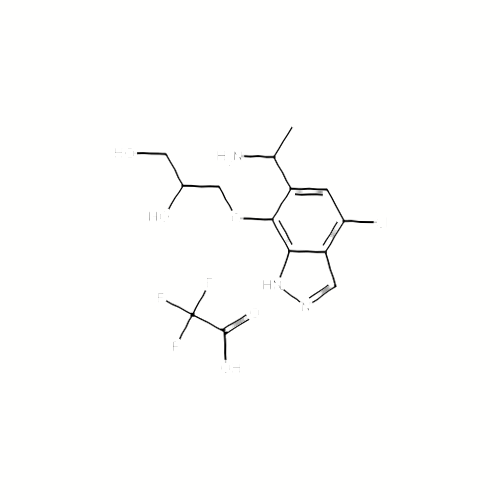 CC(N)c1cc(Cl)c2cn[nH]c2c1OCC(O)CO.O=C(O)C(F)(F)F